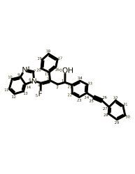 OC(CC(=C(F)n1cnc2ccccc21)c1ccccc1)c1ccc(C#Cc2ccccc2)cc1